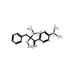 COC(Cc1ccccc1)(C(=N)c1ccc(N(C)C)cc1)N(C)C